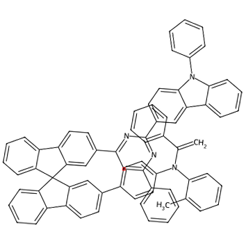 C=C(c1ccccc1)N(c1ccc(-c2ccc3c(c2)C2(c4ccccc4-3)c3ccccc3-c3ccc(-c4cc(-c5ccccc5)nc(-c5ccc6c(c5)c5ccccc5n6-c5ccccc5)n4)cc32)cc1)c1ccccc1C